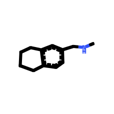 CNCc1ccc2c(c1)CCCC2